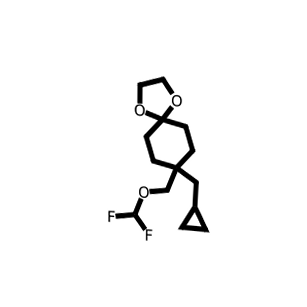 FC(F)OCC1(CC2CC2)CCC2(CC1)OCCO2